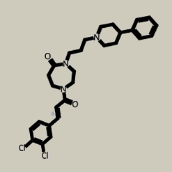 O=C(/C=C/c1ccc(Cl)c(Cl)c1)N1CCC(=O)N(CCCN2CCC(c3ccccc3)CC2)CC1